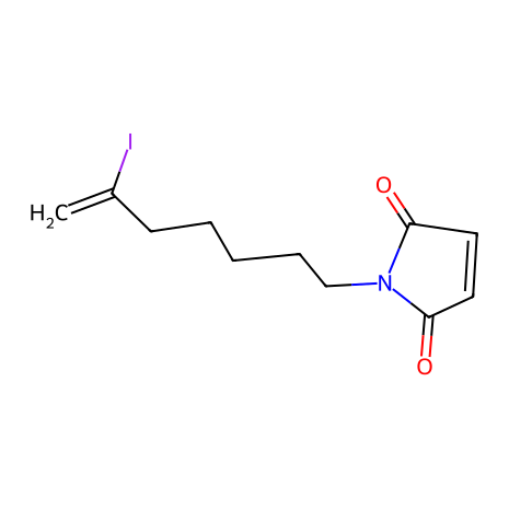 C=C(I)CCCCCN1C(=O)C=CC1=O